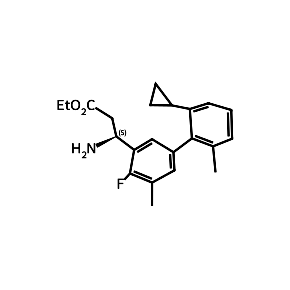 CCOC(=O)C[C@H](N)c1cc(-c2c(C)cccc2C2CC2)cc(C)c1F